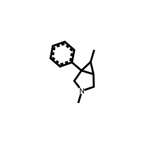 CC1C2CN(C)CC12c1ccccc1